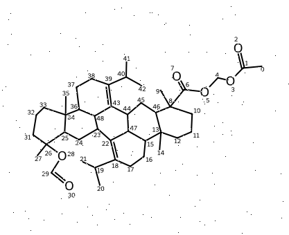 CC(=O)OCOC(=O)C1(C)CCCC2(C)C3CCC(C(C)C)=C4C5CC6C(C)(OC=O)CCCC6(C)C6CCC(C(C)C)=C(C(CC12)C43)C56